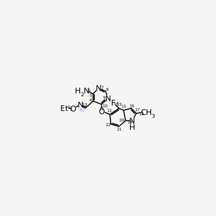 CCO/N=C/c1c(N)ncnc1OC1=C(F)C2C=C(C)NC2C=C1